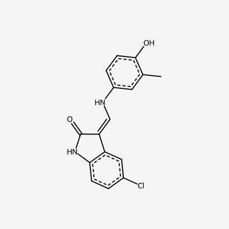 Cc1cc(NC=C2C(=O)Nc3ccc(Cl)cc32)ccc1O